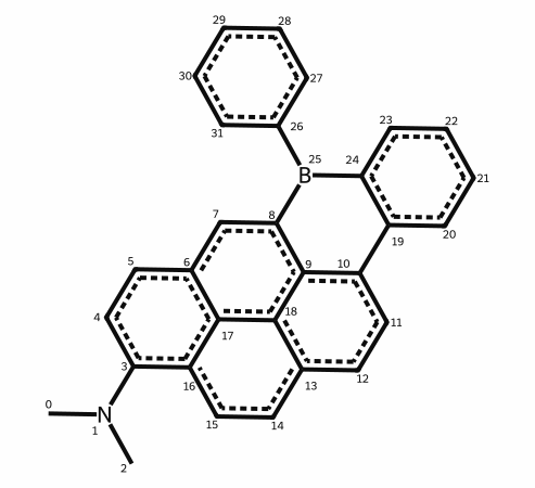 CN(C)c1ccc2cc3c4c(ccc5ccc1c2c54)-c1ccccc1B3c1ccccc1